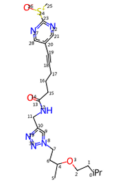 CC(C)CCOC(C)CCn1cc(CNC(=O)CCCC#Cc2cnc([S+](C)[O-])nc2)nn1